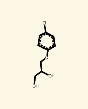 OCC(O)COc1[c]cc(Cl)cc1